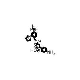 Nc1ccc(C(CC(=S)NCc2ccc(C(F)(F)F)cc2N2CCCC2)S(=O)(=O)O)cc1